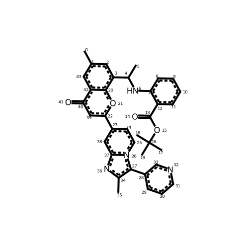 Cc1cc(C(C)Nc2ccccc2C(=O)OC(C)(C)C)c2oc(-c3ccn4c(-c5cccnc5)c(C)nc4c3)cc(=O)c2c1